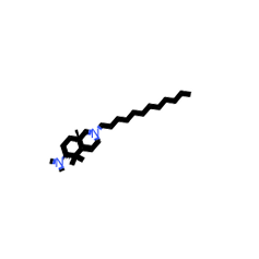 CCCCCCCCCCCCN1CC=C2C(C)(C)[C@@H](N(C)C)CC[C@]2(C)C1